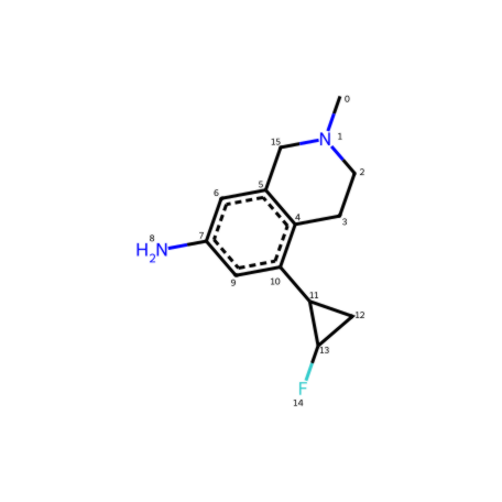 CN1CCc2c(cc(N)cc2C2CC2F)C1